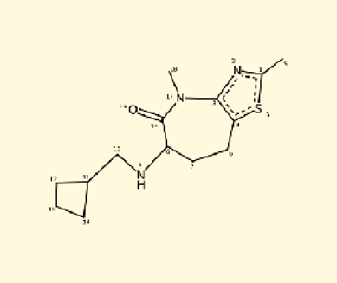 Cc1nc2c(s1)CCC(NCC1CCC1)C(=O)N2C